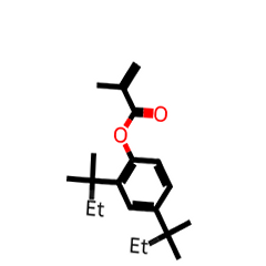 C=C(C)C(=O)Oc1ccc(C(C)(C)CC)cc1C(C)(C)CC